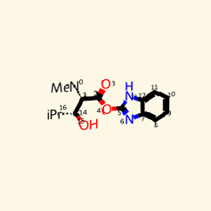 CN[C@H](C(=O)Oc1nc2ccccc2[nH]1)[C@H](O)C(C)C